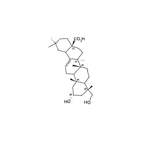 CC1(C)CC[C@]2(C(=O)O)CC[C@]3(C)C(=CCC4[C@@]5(C)C[C@@H](O)C[C@@](C)(CO)C5CC[C@]43C)C2C1